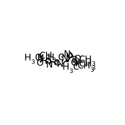 CN(C)C(=O)c1ccc(C2=CCN(Cc3cc4c(B5OC(C)(C)C(C)(C)O5)ccnc4n3C)CC2)nc1